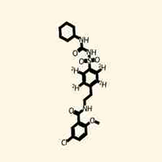 [2H]c1c([2H])c(S(=O)(=O)NC(=O)NC2CCCCC2)c([2H])c([2H])c1CCNC(=O)c1cc(Cl)ccc1OC